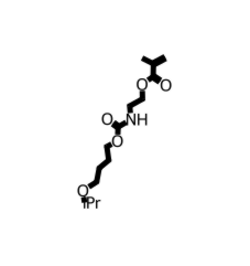 C=C(C)C(=O)OCCNC(=O)OCCCCOC(C)C